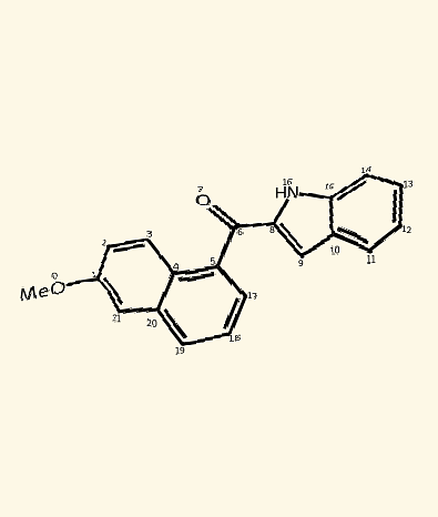 COc1ccc2c(C(=O)c3cc4ccccc4[nH]3)cccc2c1